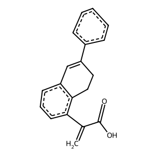 C=C(C(=O)O)c1cccc2c1CCC(c1ccccc1)=C2